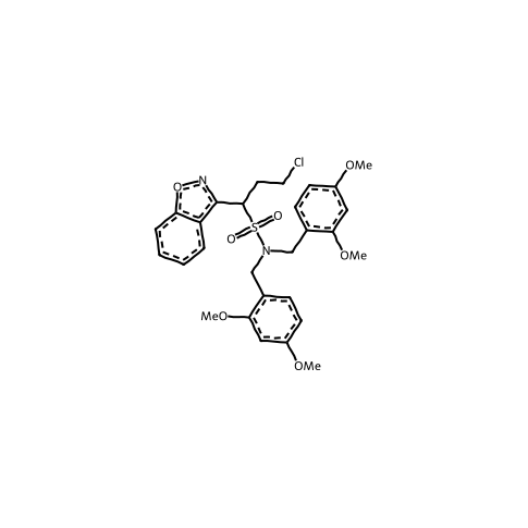 COc1ccc(CN(Cc2ccc(OC)cc2OC)S(=O)(=O)C(CCCl)c2noc3ccccc23)c(OC)c1